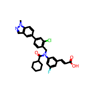 Cn1ncc2cc(-c3ccc(CN(C(=O)C4CCCCC4)c4cc(F)cc(C=CC(=O)O)c4)c(Cl)c3)ccc21